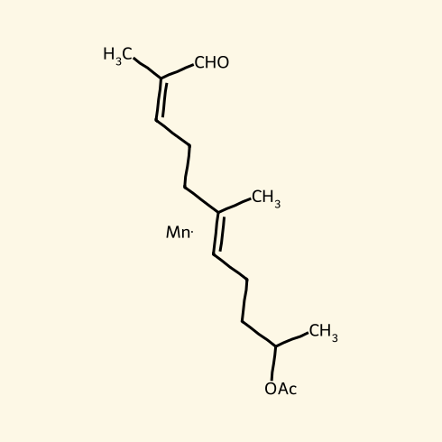 CC(=O)OC(C)CC/C=C(\C)CC/C=C(/C)C=O.[Mn]